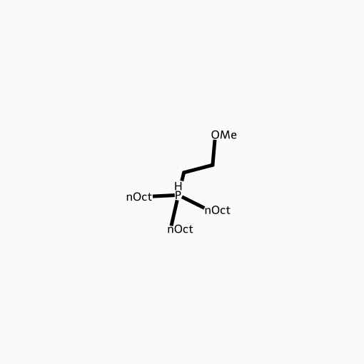 CCCCCCCC[PH](CCCCCCCC)(CCCCCCCC)CCOC